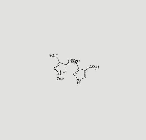 O=C(O)C1=[C-][AsH]C=C1C(=O)O.O=C(O)C1=[C-][AsH]C=C1C(=O)O.[Zn+2]